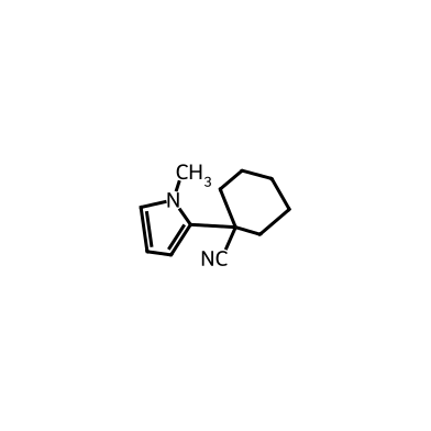 Cn1cccc1C1(C#N)CCCCC1